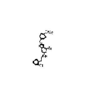 COc1ccc(Cn2cc3c(Br)cc(NCCc4ccccc4Cl)cc3n2)cc1